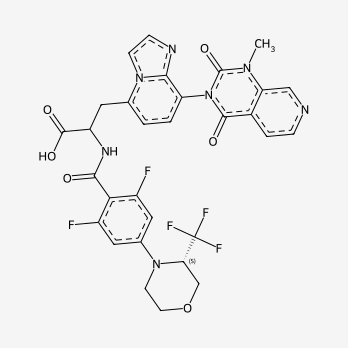 Cn1c(=O)n(-c2ccc(CC(NC(=O)c3c(F)cc(N4CCOC[C@H]4C(F)(F)F)cc3F)C(=O)O)n3ccnc23)c(=O)c2ccncc21